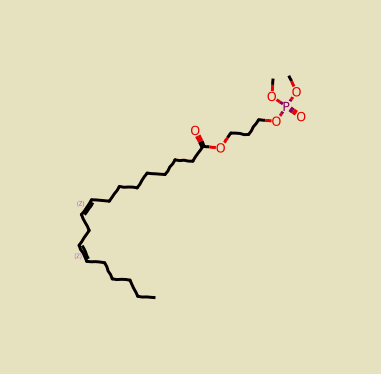 CCCCC/C=C\C/C=C\CCCCCCCC(=O)OCCCOP(=O)(OC)OC